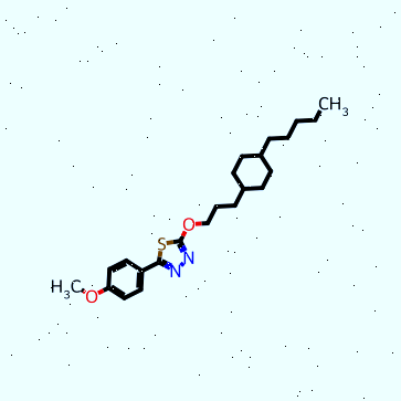 CCCCCC1CCC(CCCOc2nnc(-c3ccc(OC)cc3)s2)CC1